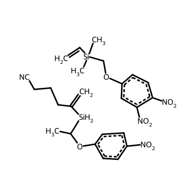 C=C(CCCC#N)[SiH2]C(C)Oc1ccc([N+](=O)[O-])cc1.C=C[Si](C)(C)COc1ccc([N+](=O)[O-])c([N+](=O)[O-])c1